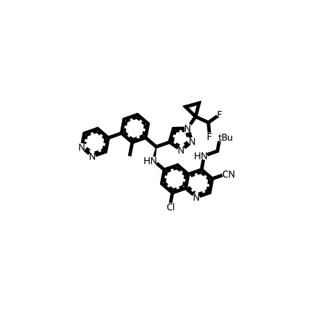 Cc1c(-c2ccnnc2)cccc1[C@H](Nc1cc(Cl)c2ncc(C#N)c(NCC(C)(C)C)c2c1)c1cn(C2(C(F)F)CC2)nn1